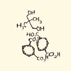 CC(C)(CO)CO.O=C(O)c1ccc(C(=O)O)cc1.O=C(O)c1cccc(C(=O)O)c1